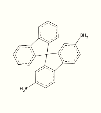 Bc1ccc2c(c1)C1(c3ccccc3-c3ccccc31)c1cc(B)ccc1-2